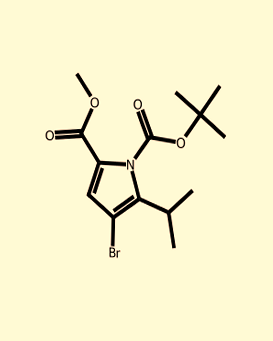 COC(=O)c1cc(Br)c(C(C)C)n1C(=O)OC(C)(C)C